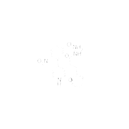 NNC(=O)C(Cc1ccccc1)c1c(-c2cc(Cl)ccc2[N+](=O)[O-])cc[nH]c1=O